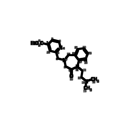 CCOC(=O)c1ccnc(CN2CC(=O)N(CCN(C)C)c3ncccc3C2)c1